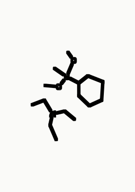 CO[Si](C)(OC)C1CCCCC1.C[CH2][Al]([CH2]C)[CH2]C